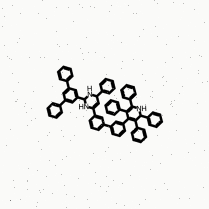 C1=C(c2cccc(-c3cccc(C4=C(c5ccccc5)C(c5ccccc5)NC(c5ccccc5)=C4c4ccccc4)c3)c2)NC(c2cc(-c3ccccc3)cc(-c3ccccc3)c2)NC1c1ccccc1